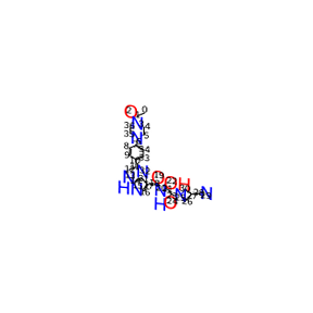 CC(=O)N1CCN(c2ccc(-c3cnc4[nH]cc(C(=O)N[C@H](O)C(=O)N5CC(C#N)C5)c4n3)cc2)CC1